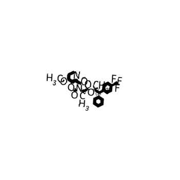 COc1ccnc2c(=O)n([C@@H](C)C(=O)O[C@@H](C)[C@@H](c3ccccc3)c3ccc(C(F)(F)F)cc3)c(=O)oc12